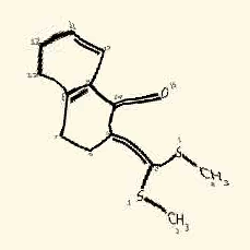 CSC(SC)=C1CCC2=C(C=CCC2)C1=O